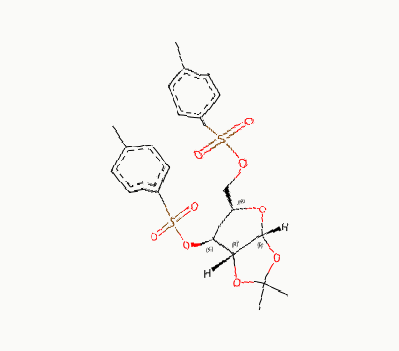 Cc1ccc(S(=O)(=O)OC[C@H]2O[C@@H]3OC(C)(C)O[C@@H]3[C@H]2OS(=O)(=O)c2ccc(C)cc2)cc1